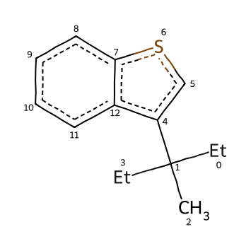 CCC(C)(CC)c1csc2ccccc12